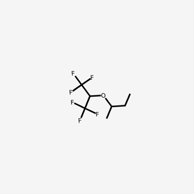 CCC(C)OC(C(F)(F)F)C(F)(F)F